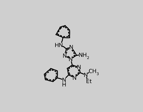 CCN(C)c1nc(Nc2ccccc2)cc(-n2nc(Nc3ccccc3)nc2N)n1